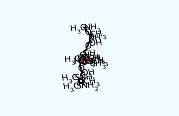 CSc1cc(SC)c(NCC(O)COCCC[Si](C)(C)O[Si](O[SiH2]CCCOCC(O)CNC(C)COCC(C)N)(O[Si](C)(C)O[Si](C)(C)C)c2ccccc2)c(C)c1N